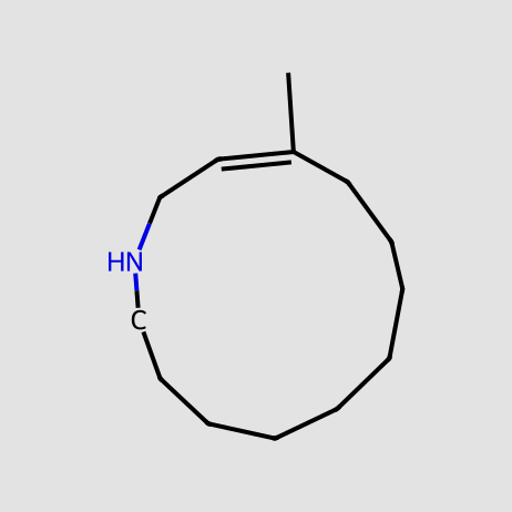 C/C1=C/CNCCCCCCCCC1